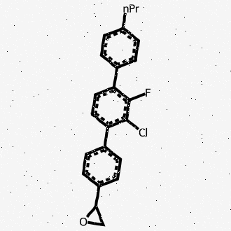 CCCc1ccc(-c2ccc(-c3ccc(C4CO4)cc3)c(Cl)c2F)cc1